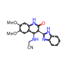 COc1cc2[nH]c(=O)c(-c3nc4ccccc4[nH]3)c(NCC#N)c2cc1OC